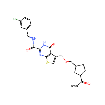 CNC(=O)C1CCC(COCc2csc3nc(C(=O)NCc4cccc(Cl)c4)[nH]c(=O)c23)C1